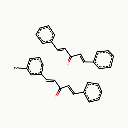 O=C(C=Cc1ccccc1)C=Cc1ccc[c]([Pd])c1.O=C(C=Cc1ccccc1)C=Cc1ccccc1